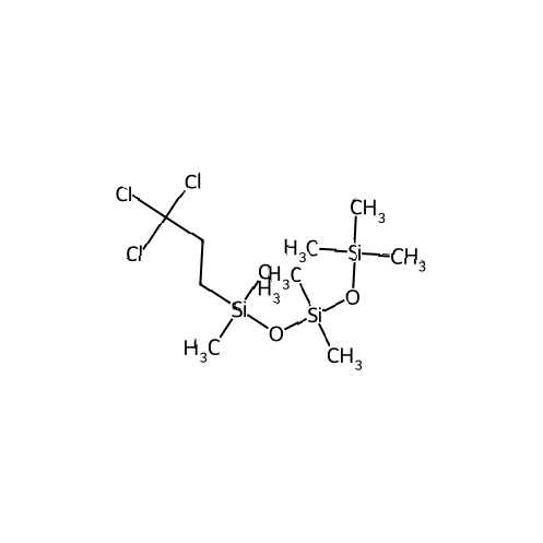 C[Si](C)(C)O[Si](C)(C)O[Si](C)(C)CCC(Cl)(Cl)Cl